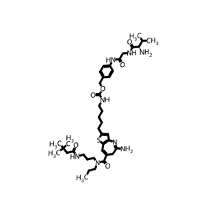 CCCN(CCCNC(=O)CC(C)(C)C)C(=O)C1=Cc2sc(CCCCCNC(=O)OCc3ccc(NC(=O)CNC(=O)[C@@H](N)C(C)C)cc3)cc2N=C(N)C1